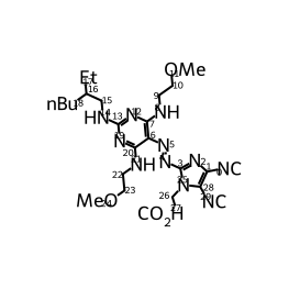 [C-]#[N+]c1nc(N=Nc2c(NCCOC)nc(NCC(CC)CCCC)nc2NCCOC)n(CC(=O)O)c1[N+]#[C-]